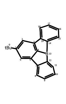 CC(C)(C)c1cc2c3c(c1)-c1ccccc1B3c1ccccc1-2